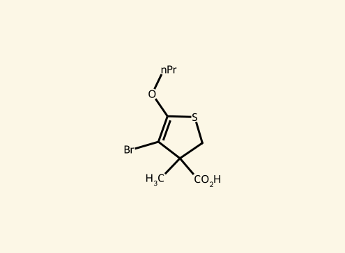 CCCOC1=C(Br)C(C)(C(=O)O)CS1